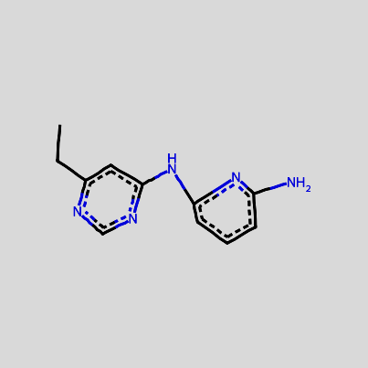 CCc1cc(Nc2cccc(N)n2)ncn1